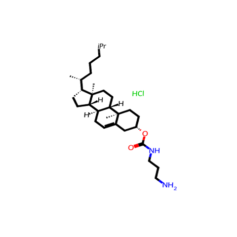 CC(C)CCC[C@@H](C)[C@H]1CC[C@H]2[C@@H]3CC=C4C[C@@H](OC(=O)NCCCN)CC[C@]4(C)[C@H]3CC[C@]12C.Cl